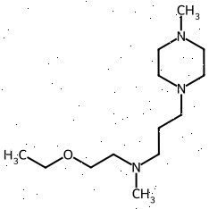 CCOCCN(C)CCCN1CCN(C)CC1